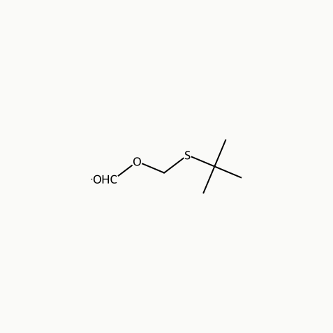 CC(C)(C)SCO[C]=O